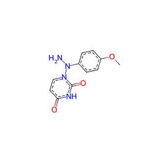 COc1ccc(N(N)n2ccc(=O)[nH]c2=O)cc1